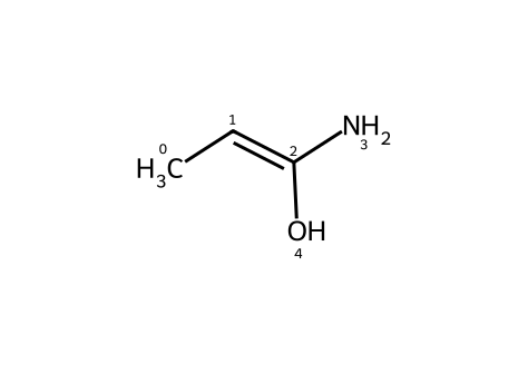 CC=C(N)O